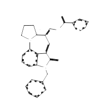 O=C(O/C=C1\C=C2C(=O)N(Cc3ccccc3)c3cccc(c32)N2CCC[C@@H]12)c1ccco1